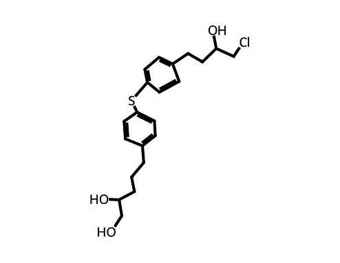 OCC(O)CCCc1ccc(Sc2ccc(CCC(O)CCl)cc2)cc1